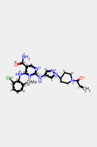 C=CC(=O)N1CCC(n2cc(Nc3ncc(C(N)=O)c(Nc4c(Cl)cccc4OC)n3)cn2)CC1